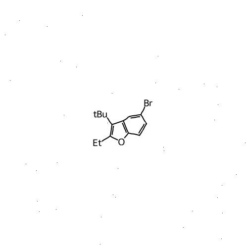 CCc1oc2ccc(Br)cc2c1C(C)(C)C